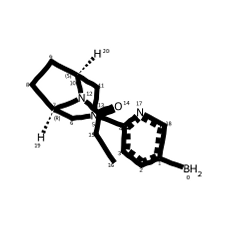 Bc1ccc(N2C[C@H]3CC[C@@H](C2)N3C(=O)CC)nc1